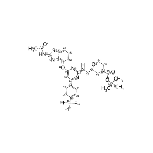 CC(=O)Nc1nc2c(Oc3cc(-c4ccc(C(F)(F)F)cc4)nc(NCC4CN(C(=O)OC(C)(C)C)CCO4)n3)cccc2s1